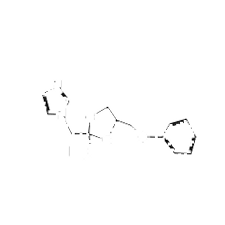 CC1(Cn2ccnc2)OCC(COc2ccccc2)O1